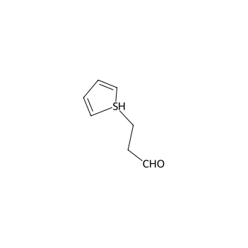 O=CCC[SH]1C=CC=C1